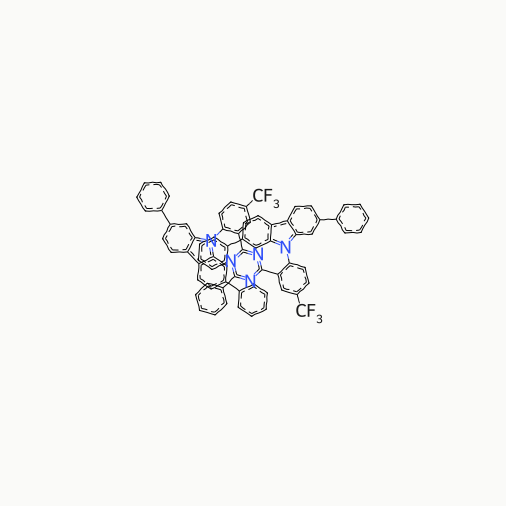 FC(F)(F)c1ccc(-n2c3cc(-c4ccccc4)ccc3c3ccc(-c4ccccc4)cc32)c(-c2nc(-c3ccccc3)nc(-c3cc(C(F)(F)F)ccc3-n3c4cc(-c5ccccc5)ccc4c4ccc(-c5ccccc5)cc43)n2)c1